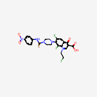 O=C(O)c1cn(CCF)c2c(F)c(N3CCN(C(=S)Nc4ccc([N+](=O)[O-])cc4)CC3)c(F)cc2c1=O